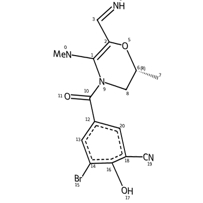 CNC1=C(C=N)O[C@H](C)CN1C(=O)c1cc(Br)c(O)c(C#N)c1